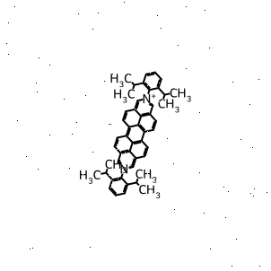 CC(C)c1cccc(C(C)C)c1-[n+]1cc2ccc3c4ccc5c[n+](-c6c(C(C)C)cccc6C(C)C)cc6ccc(c7ccc(c1)c2c37)c4c56